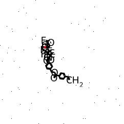 C=Cc1ccc(C(=O)OCc2ccc(OS(=O)(=O)C(F)(F)C(F)(F)C(F)(F)S(=O)(=O)CS(=O)(=O)CF)cc2)cc1